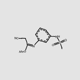 COC(CC#N)=Nc1cccc(NS(C)(=O)=O)c1